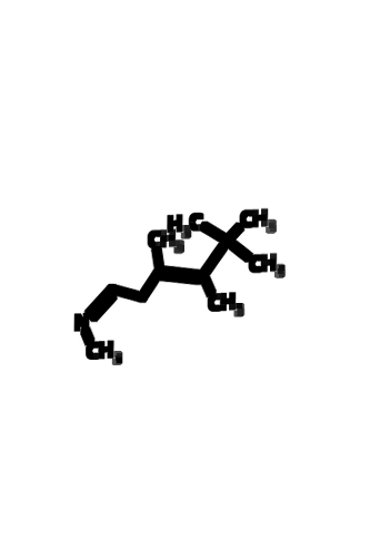 C/N=C\C/C(C)=C(\C)C(C)(C)C